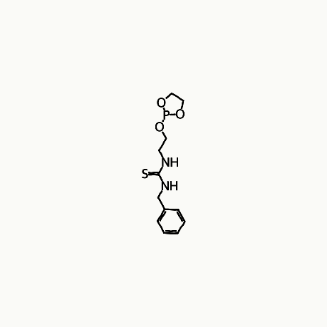 S=C(NCCOP1OCCO1)NCc1ccccc1